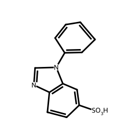 O=S(=O)(O)c1ccc2ncn(-c3ccccc3)c2c1